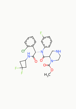 COC(=O)N1CCNCC1C(=O)N(c1cccc(F)c1)[C@H](C(=O)NC1CC(F)(F)C1)c1ccccc1Cl